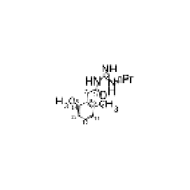 CCCNC(=N)NC(=O)Cc1c(C)cccc1C